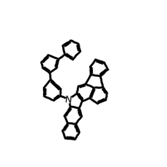 c1ccc(-c2cccc(-c3cccc(-n4c5cc6ccccc6cc5c5c6cccc7c6c(cc54)-c4ccccc4-7)c3)c2)cc1